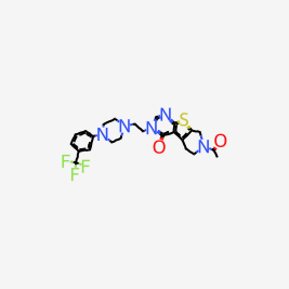 CC(=O)N1CCc2c(sc3ncn(CCN4CCN(c5cccc(C(F)(F)F)c5)CC4)c(=O)c23)C1